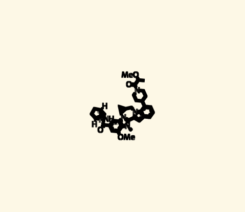 COc1cc(C(=O)N2C[C@H]3CC[C@@H]2C3N)cc2nc(-c3cc4cccc(C5CCN(C(=O)C(C)OC)CC5)c4n3CC3CC3)n(C)c12